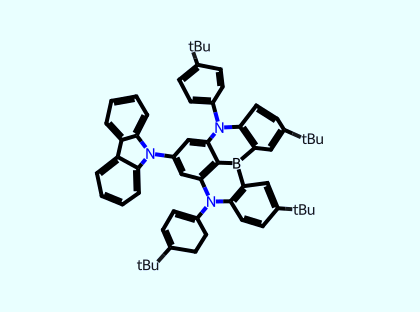 CC(C)(C)C1=CC=C(N2c3ccc(C(C)(C)C)cc3B3c4cc(C(C)(C)C)ccc4N(c4ccc(C(C)(C)C)cc4)c4cc(-n5c6ccccc6c6ccccc65)cc2c43)CC1